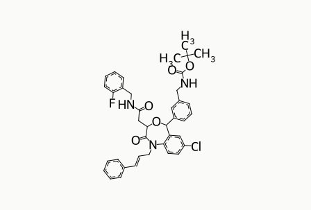 CC(C)(C)OC(=O)NCc1cccc(C2OC(CC(=O)NCc3ccccc3F)C(=O)N(CC=Cc3ccccc3)c3ccc(Cl)cc32)c1